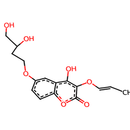 CC=COc1c(O)c2cc(OCCC(O)CO)ccc2oc1=O